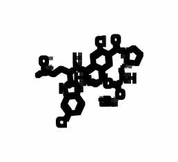 C[S+]([O-])CCC(Nc1ncnc2cc(C(=O)N3CCC[C@@H]3CNC(=O)OC(C)(C)C)c(Cl)cc12)c1nc2cc(Cl)ccc2[nH]1